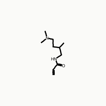 C=CC(=O)NCC(C)CCN(C)C